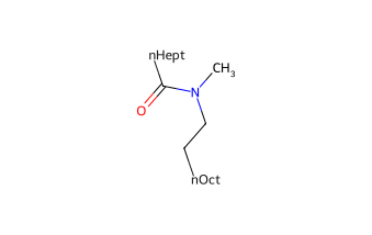 CCCCCCCCCCN(C)C(=O)CCCCCCC